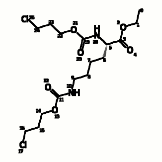 CCOC(=O)[C@H](CCCCNC(=O)OCCCCl)NC(=O)OCCCCl